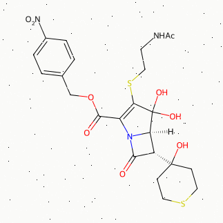 CC(=O)NCCSC1=C(C(=O)OCc2ccc([N+](=O)[O-])cc2)N2C(=O)[C@@H](C3(O)CCSCC3)[C@@H]2C1(O)O